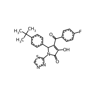 CC(C)(C)c1ccc(C2C(C(=O)c3ccc(F)cc3)=C(O)C(=O)N2c2nncs2)cc1